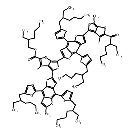 CCCCC(CC)COC(=O)c1sc2c(-c3cc4c(-c5ccc(CC(CC)CCCC)s5)c5sc(-c6sc(C)c7sc(C(=O)C(CC)CCCC)c(F)c67)cc5c(-c5ccc(CC(CC)CCCC)s5)c4s3)sc(-c3cc4c(-c5ccc(CC(CC)CCCC)s5)c5sc(C)cc5c(-c5ccc(CC(CC)CCCC)s5)c4s3)c2c1F